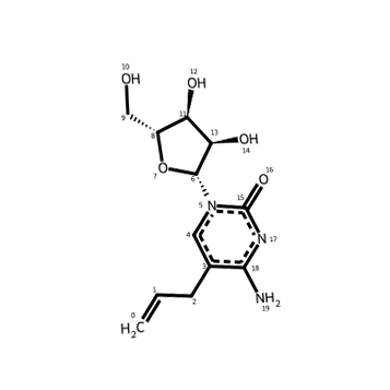 C=CCc1cn([C@@H]2O[C@H](CO)[C@@H](O)[C@H]2O)c(=O)nc1N